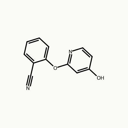 N#Cc1ccccc1Oc1cc(O)ccn1